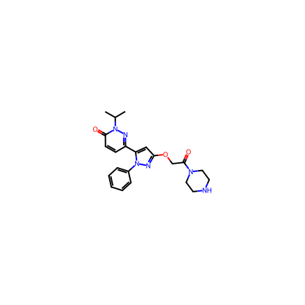 CC(C)n1nc(-c2cc(OCC(=O)N3CCNCC3)nn2-c2ccccc2)ccc1=O